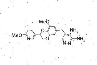 COc1ccc(C2COc3cc(Cc4cnnc(N)c4N)cc(OC)c3O2)cn1